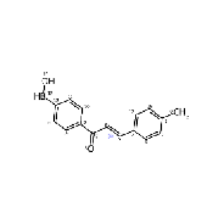 Cc1ccc(/C=C/C(=O)c2ccc(BO)cc2)cc1